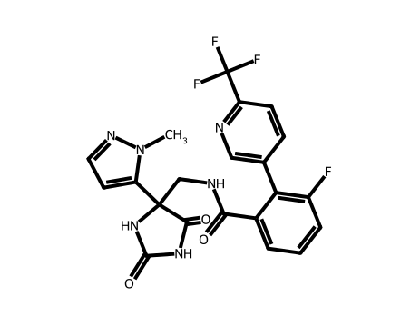 Cn1nccc1C1(CNC(=O)c2cccc(F)c2-c2ccc(C(F)(F)F)nc2)NC(=O)NC1=O